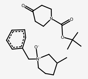 CC(C)(C)OC(=O)N1CCC(=O)CC1.CC1CCC[N+]([O-])(Cc2ccccc2)C1